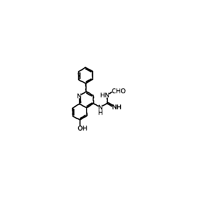 N=C(NC=O)Nc1cc(-c2ccccc2)nc2ccc(O)cc12